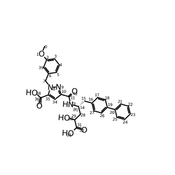 COc1cccc(Cn2nc(C(=O)N[C@H](Cc3ccc(-c4ccccc4)cc3)CC(O)C(=O)O)cc2C(=O)O)c1